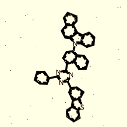 c1ccc(-c2nc(-c3ccc4sc5ccccc5c4c3)nc(-c3ccc(-n4c5ccccc5c5c6ccccc6ccc54)c4ccccc34)n2)cc1